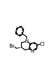 Clc1cnc2c(c1)N(Cc1ccccc1)C[C@H](CBr)C2